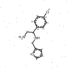 NCC(NCc1ccco1)c1ccc(Cl)cc1